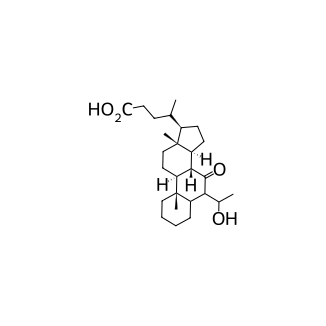 CC(O)C1C(=O)[C@H]2[C@@H]3CC[C@H](C(C)CCC(=O)O)[C@@]3(C)CC[C@@H]2[C@@]2(C)CCCCC12